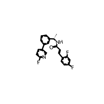 C[C@H](NC(=O)C=Cc1ccc(F)cc1F)c1cccc(-c2ccc(F)nc2)c1